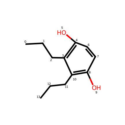 CCCc1c(O)ccc(O)c1CCC